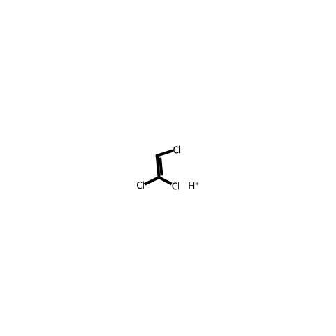 ClC=C(Cl)Cl.[H+]